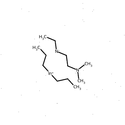 CC[CH2][In+][CH2]CC.CC[N-]CCN(C)C